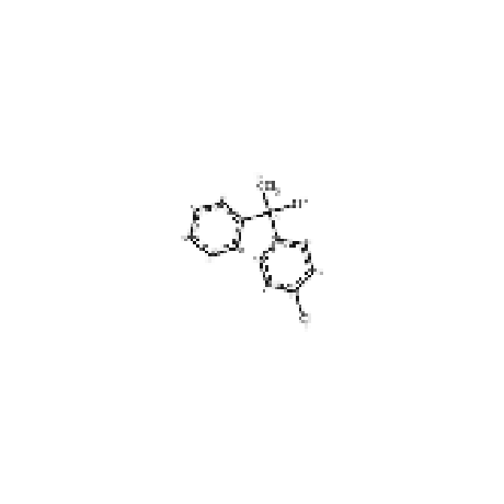 Clc1ccc(C(Cl)(c2ccccc2)C(Cl)(Cl)Cl)cc1